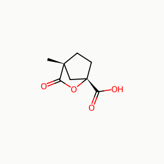 C[C@@]12CC[C@@](C(=O)O)(C1)OC2=O